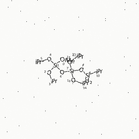 CO[Si](OC(C)C)(OC(C)C)O[Si](O[SiH2]C(C)C)(OC(C)C)OC(C)C